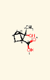 CC1(O)CC2CC1(C(=O)O)C2